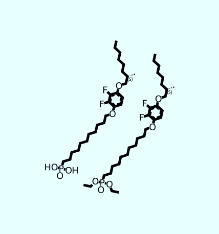 CCCCCC[C@H](C)COc1ccc(OCCCCCCCCCCCP(=O)(O)O)c(F)c1F.CCCCCC[C@H](C)COc1ccc(OCCCCCCCCCCCP(=O)(OCC)OCC)c(F)c1F